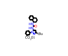 CCOC(=O)c1cccc(-n2nc(C(C)(C)C)cc2NC(=O)NC2CCCc3ccccc32)c1